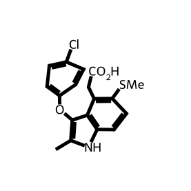 CSc1ccc2[nH]c(C)c(Oc3ccc(Cl)cc3)c2c1CC(=O)O